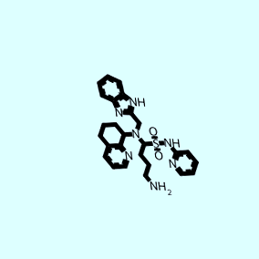 NCCCC(N(Cc1nc2ccccc2[nH]1)C1CCCc2cccnc21)S(=O)(=O)Nc1ccccn1